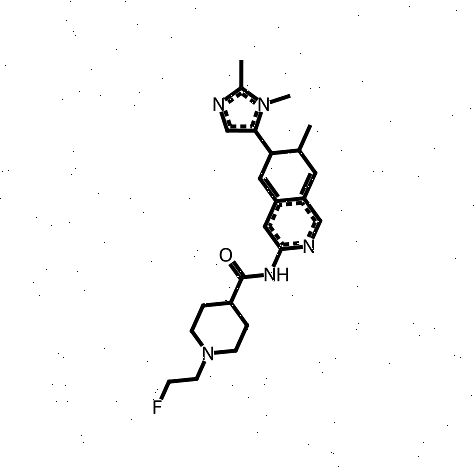 Cc1ncc(C2C=c3cc(NC(=O)C4CCN(CCF)CC4)ncc3=CC2C)n1C